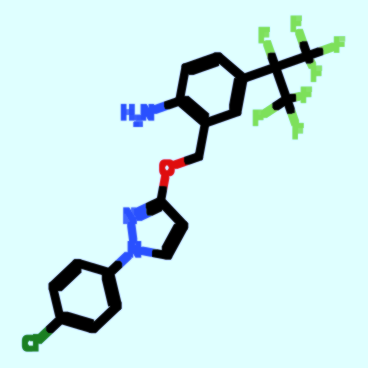 Nc1ccc(C(F)(C(F)(F)F)C(F)(F)F)cc1COc1ccn(-c2ccc(Cl)cc2)n1